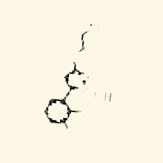 Cl.NCCOc1cc(-c2cccc(Cl)c2Cl)on1